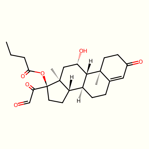 CCCC(=O)O[C@]1(C(=O)C=O)CC[C@H]2[C@@H]3CCC4=CC(=O)CC[C@]4(C)[C@H]3[C@@H](O)C[C@@]21C